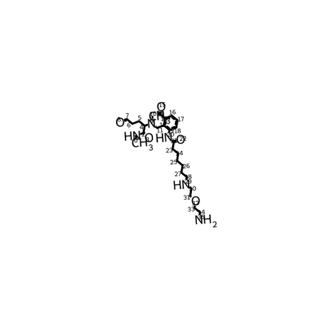 CNC(=O)C(CCC=O)N(C)Cc1c(C=O)cccc1NC(=O)CCCCCCNCCOCCN